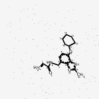 C=CC(=O)NCc1ccc(OC2CCCCC2)c2nc(C)oc12